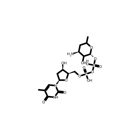 Cc1cn([C@H]2C[C@@H](O)[C@@H](COP(=O)(O)OP(=O)(O)O[C@H]3OC(C)C[C@H](N)C3O)O2)c(=O)[nH]c1=O